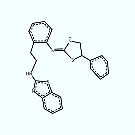 c1ccc(C2CN/C(=N\c3ccccc3CCNc3nc4ccccc4s3)S2)cc1